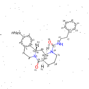 CCCCCCc1ccc2c(c1)CCN1C(=O)[C@@H]3CCCN(C(=O)NCCc4ccccc4)[C@@H]3C[C@@H]21